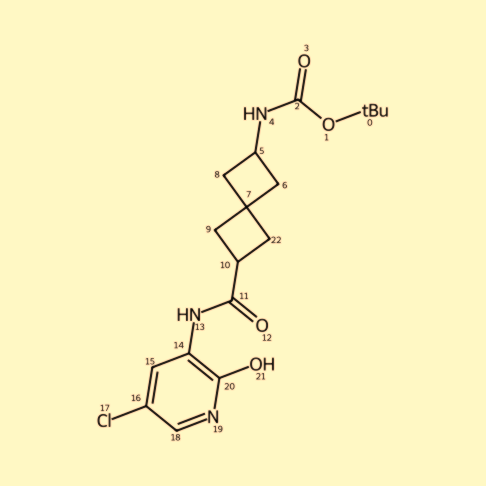 CC(C)(C)OC(=O)NC1CC2(C1)CC(C(=O)Nc1cc(Cl)cnc1O)C2